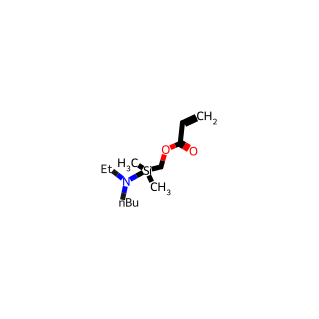 C=CC(=O)OC[Si](C)(C)N(CC)CCCC